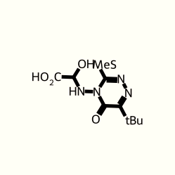 CSc1nnc(C(C)(C)C)c(=O)n1NC(O)C(=O)O